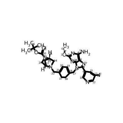 COc1nc(N)c2nc(-c3cncc(F)c3)n(CC3=CC=C(CN4C[C@@H]5C[C@H]4CN5C(=O)OC(C)(C)C)CC3)c2n1